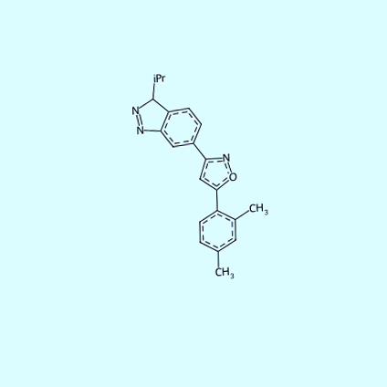 Cc1ccc(-c2cc(-c3ccc4c(c3)N=NC4C(C)C)no2)c(C)c1